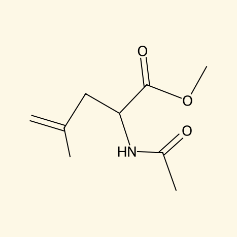 C=C(C)CC(NC(C)=O)C(=O)OC